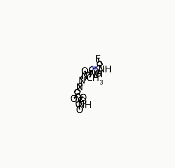 Cc1[nH]c2c(c1C(=O)N1CCN(C3CN(c4ccc5c(c4)C(=O)N(C4CCC(=O)NC4=O)C5=O)C3)CC1)CC/C2=C1/C(=O)Nc2ccc(F)cc21